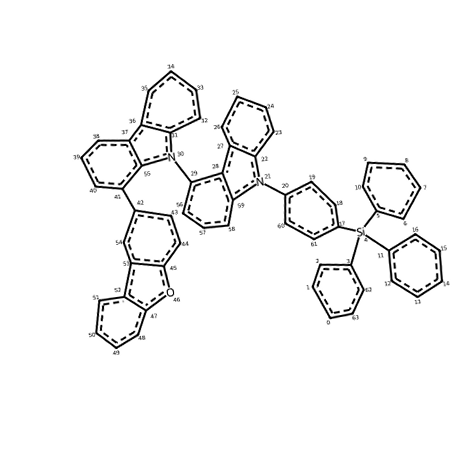 c1ccc([Si](c2ccccc2)(c2ccccc2)c2ccc(-n3c4ccccc4c4c(-n5c6ccccc6c6cccc(-c7ccc8oc9ccccc9c8c7)c65)cccc43)cc2)cc1